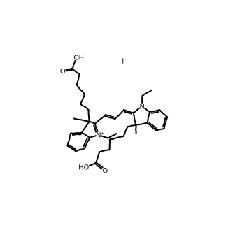 CCN1/C(=C/C=C/C2=[N+](CC)c3ccccc3C2(C)CCCCCC(=O)O)C(C)(CCCCCC(=O)O)c2ccccc21.[I-]